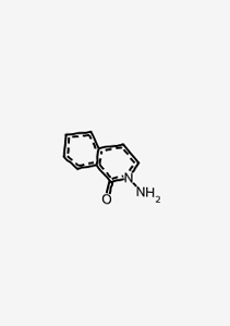 Nn1ccc2ccccc2c1=O